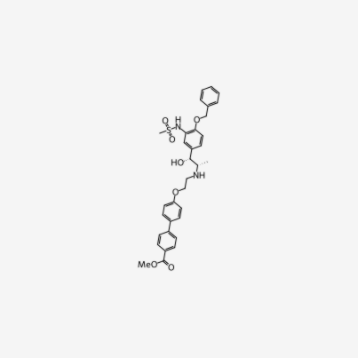 COC(=O)c1ccc(-c2ccc(OCCN[C@@H](C)[C@H](O)c3ccc(OCc4ccccc4)c(NS(C)(=O)=O)c3)cc2)cc1